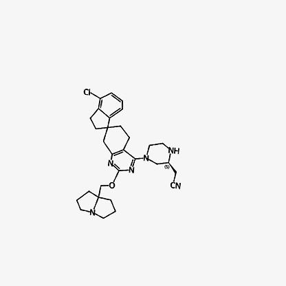 N#CC[C@H]1CN(c2nc(OCC34CCCN3CCC4)nc3c2CCC2(CCc4c(Cl)cccc42)C3)CCN1